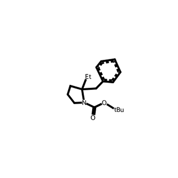 CCC1(Cc2ccccc2)CCCN1C(=O)OC(C)(C)C